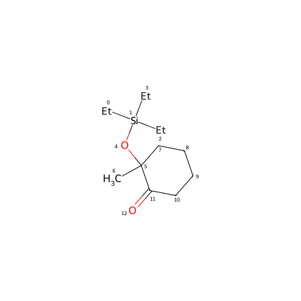 CC[Si](CC)(CC)OC1(C)CCCCC1=O